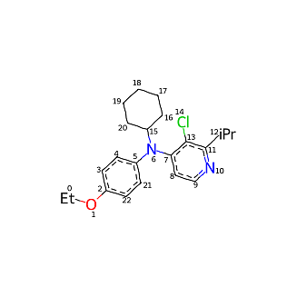 CCOc1ccc(N(c2ccnc(C(C)C)c2Cl)C2CCCCC2)cc1